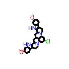 COc1ccc2c3c([nH]c2c1)C(CC(CC1=NCCc2c1[nH]c1cc(OC)ccc21)c1ccc(Cl)cc1)=NCC3